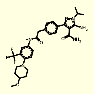 COC1CCN(c2ccc(NC(=O)Cc3ccc(-c4nn(C(C)C)c(N)c4C(N)=O)cc3)cc2C(F)(F)F)CC1